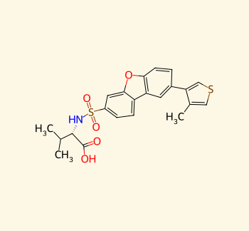 Cc1cscc1-c1ccc2oc3cc(S(=O)(=O)N[C@H](C(=O)O)C(C)C)ccc3c2c1